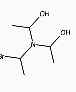 CC(O)N(C(C)O)C(C)Br